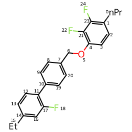 CCCc1ccc(OCc2ccc(-c3ccc(CC)cc3F)cc2)c(F)c1F